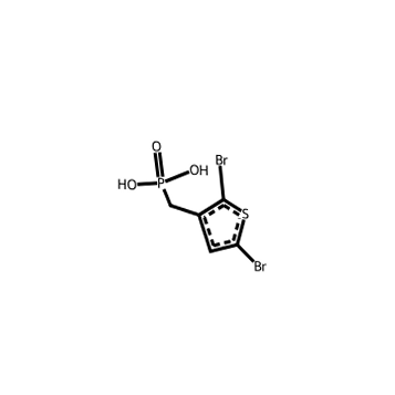 O=P(O)(O)Cc1cc(Br)sc1Br